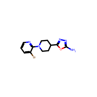 Nc1nnc(C2CCN(c3ncccc3Br)CC2)o1